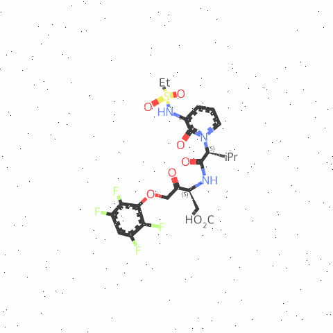 CCS(=O)(=O)Nc1cccn([C@H](C(=O)N[C@@H](CC(=O)O)C(=O)COc2c(F)c(F)cc(F)c2F)C(C)C)c1=O